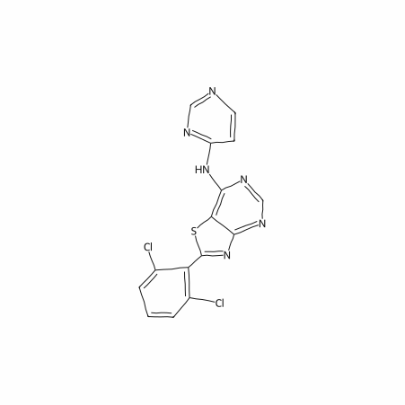 Clc1cccc(Cl)c1-c1nc2ncnc(Nc3ccncn3)c2s1